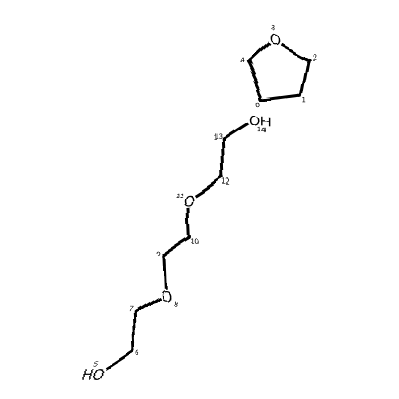 C1CCOC1.OCCOCCOCCO